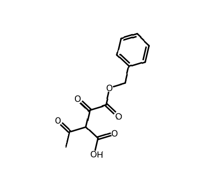 CC(=O)C(C(=O)O)C(=O)C(=O)OCc1ccccc1